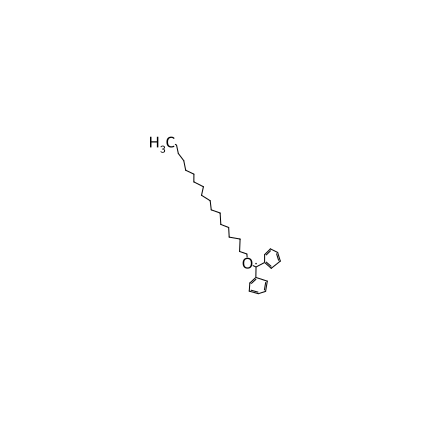 CCCCCCCCCCCCCCCCCCO[C](c1ccccc1)c1ccccc1